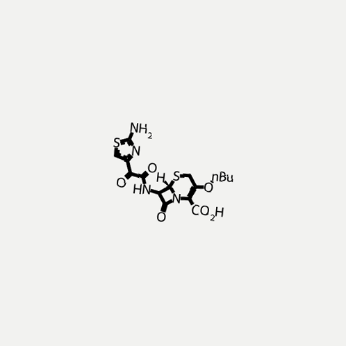 CCCCOC1=C(C(=O)O)N2C(=O)C(NC(=O)C(=O)c3csc(N)n3)[C@@H]2SC1